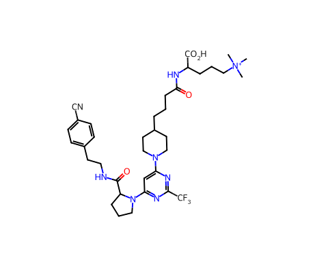 C[N+](C)(C)CCCC(NC(=O)CCCC1CCN(c2cc(N3CCCC3C(=O)NCCc3ccc(C#N)cc3)nc(C(F)(F)F)n2)CC1)C(=O)O